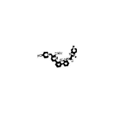 COc1nc(-c2cccc(-c3cccc(NC(=O)c4nc5c(n4C)CCN(C)C5)c3Cl)c2Cl)ccc1CN1CCC(O)CC1